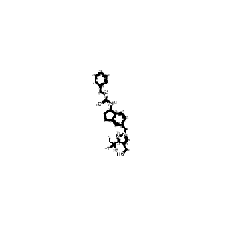 O=C(NC1CCc2cc(Cn3cc(CO)c(C(F)(F)F)n3)ccc21)OCc1ccccc1